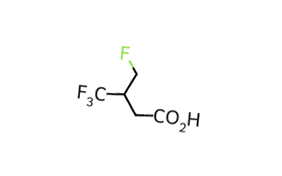 O=C(O)CC(CF)C(F)(F)F